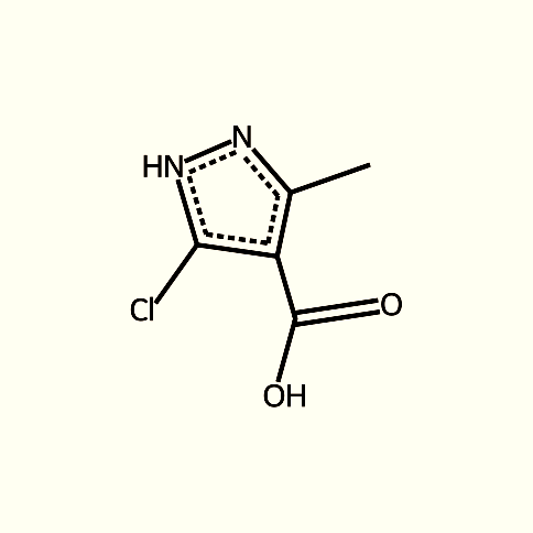 Cc1n[nH]c(Cl)c1C(=O)O